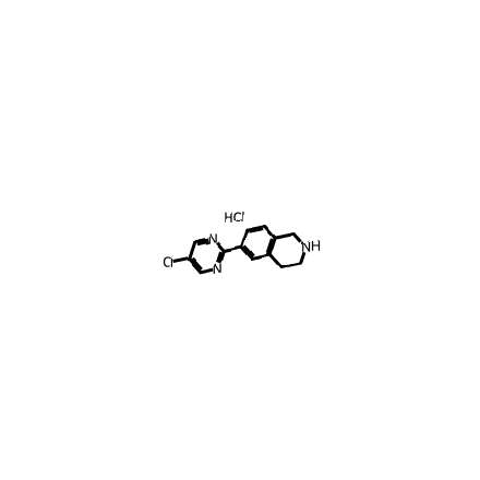 Cl.Clc1cnc(-c2ccc3c(c2)CCNC3)nc1